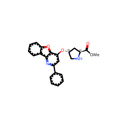 COC(=O)[C@@H]1C[C@@H](Oc2cc(-c3ccccc3)nc3c2oc2ccccc23)CN1